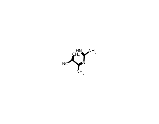 C=C(C#N)/C(N)=N\C(=N)N